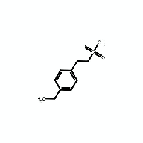 CCc1ccc(CCS(C)(=O)=O)cc1